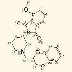 COc1cccc2c1C(=O)N([C@H]1CCCN(C[C@H]3COc4ccccc4O3)C1)C2=O